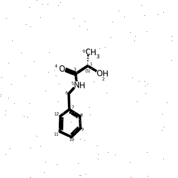 C[C@H](O)C(=O)NCc1ccccc1